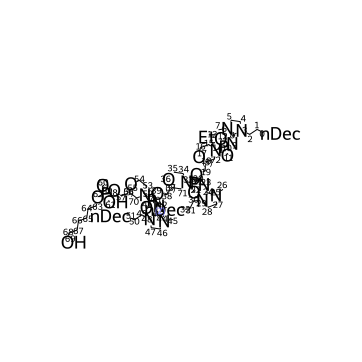 CCCCCCCCCCCCN1CCN(C)C1=NP(=O)(OCC)N1CCO[C@H](COP(=O)(N=C2N(C)CCN2CCCCCCCCCCCC)N2CCO[C@H](COP(=O)(/N=C3/N(C)CCN3CCCCCCCCCCCC)N3CCO[C@H](COP(=O)(O)OCCCCCCO)C3)C2)C1